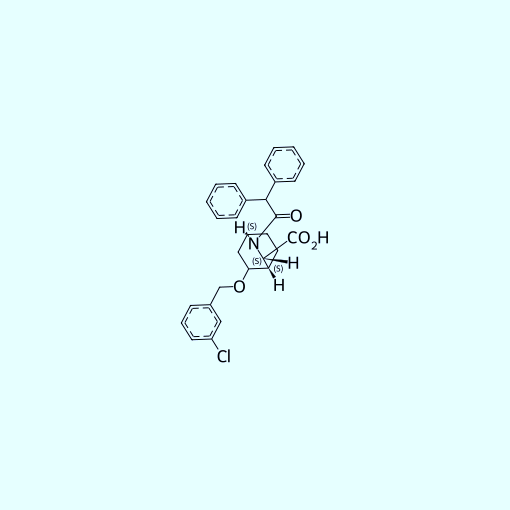 O=C(O)[C@@H]1[C@@H]2CC[C@@H](CC2OCc2cccc(Cl)c2)N1C(=O)C(c1ccccc1)c1ccccc1